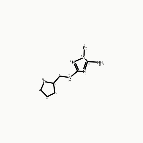 CCn1nc(NCC2CCCO2)nc1N